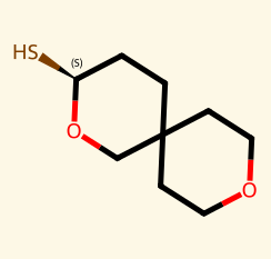 S[C@H]1CCC2(CCOCC2)CO1